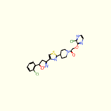 O=C(COc1nccnc1Cl)N1CCC(c2nc(C3=NOC(c4[c]cccc4Cl)C3)cs2)CC1